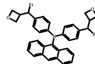 CCC(c1ccc(N(c2ccc(C(CC)C3COC3)cc2)c2c3ccccc3cc3ccccc23)cc1)C1COC1